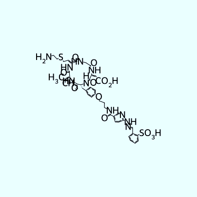 CC(C)=C1NC(=O)[C@@H](Cc2ccc(OCCCNC(=O)c3ccc(N/N=C/c4ccccc4S(=O)(=O)O)nc3)cc2)NC(=O)/C(=C\C(=O)O)NC(=O)CNC(=O)/C(=C/CSCCN)NC1=O